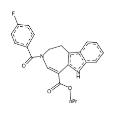 CCCOC(=O)C1=CN(C(=O)c2ccc(F)cc2)CCc2c1[nH]c1ccccc21